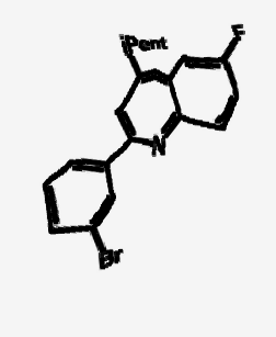 CCCC(C)c1cc(-c2cccc(Br)c2)nc2ccc(F)cc12